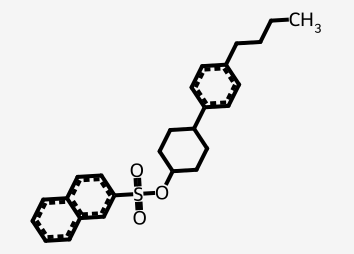 CCCCc1ccc(C2CCC(OS(=O)(=O)c3ccc4ccccc4c3)CC2)cc1